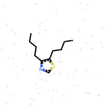 CCCCc1n[c]sc1CCCC